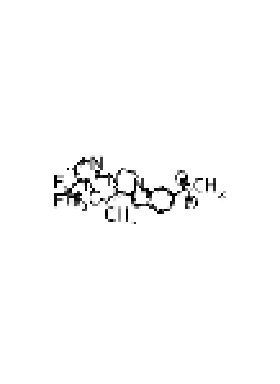 CC(C)[C@@H]1c2cc3ccc(S(C)(=O)=O)cc3n2CCN1c1nc[c]c(C(F)(F)F)n1